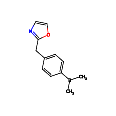 CB(C)c1ccc(Cc2ncco2)cc1